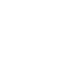 Cc1nc(C)c(S(=O)(=O)c2ccc3c(c2)CCN3C2CCN(C(=O)OC(C)(C)C)CC2)s1